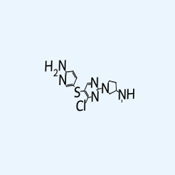 CNC1CCN(c2ncc(Sc3ccc(N)nc3)c(Cl)n2)C1